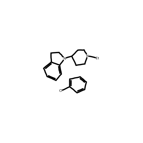 CCN1CCC(N2CCc3ccccc32)CC1.Clc1ccccc1